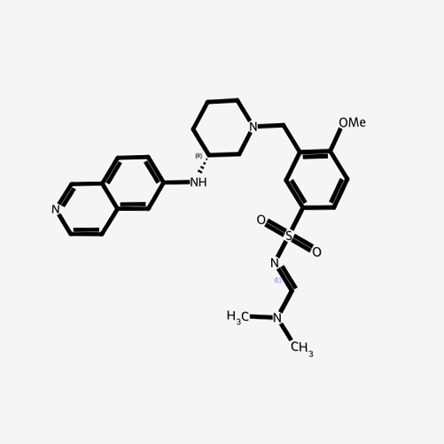 COc1ccc(S(=O)(=O)/N=C/N(C)C)cc1CN1CCC[C@@H](Nc2ccc3cnccc3c2)C1